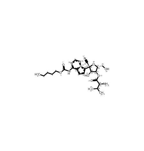 CCCCCOC(=O)Nc1ncnn2c([C@]3(C#N)O[C@H](CO)[C@@H](OC(=O)[C@@H](N)C(C)C)[C@H]3O)ccc12